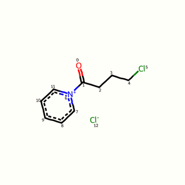 O=C(CCCCl)[n+]1ccccc1.[Cl-]